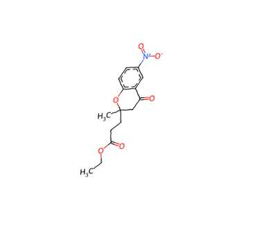 CCOC(=O)CCC1(C)CC(=O)c2cc([N+](=O)[O-])ccc2O1